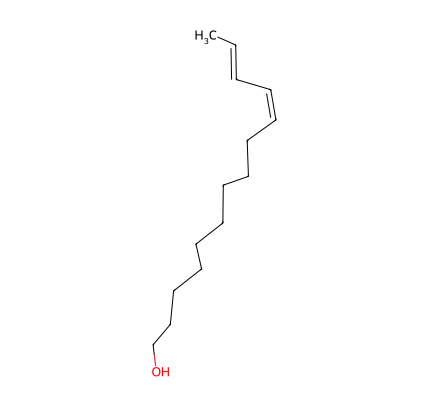 C/C=C/C=C\CCCCCCCCCO